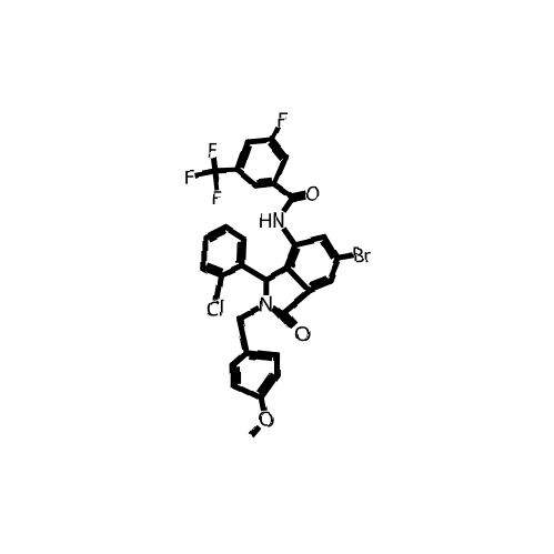 COc1ccc(CN2C(=O)c3cc(Br)cc(NC(=O)c4cc(F)cc(C(F)(F)F)c4)c3C2c2ccccc2Cl)cc1